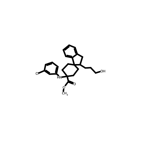 COC(=O)C1(Nc2cccc(Cl)c2)CCC2(CC1)c1ccccc1CC2CCCO